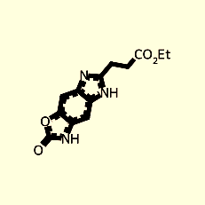 CCOC(=O)CCc1nc2cc3oc(=O)[nH]c3cc2[nH]1